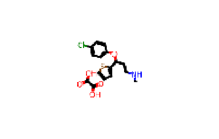 CNCCC(Oc1ccc(Cl)cc1)c1cccs1.O=C(O)C(=O)O